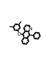 Cc1cc(C)cc(Oc2c3ccccc3c(-c3ccccc3)c3ncccc23)c1